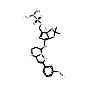 CC1(C)OC2=C(NC3CCNC4C=C(c5cccc(SC(F)(F)F)c5)NN43)C=C(COS(=O)(=O)N(C(=O)O)C(C)(C)C)[C@H]2O1